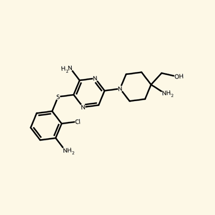 Nc1cccc(Sc2ncc(N3CCC(N)(CO)CC3)nc2N)c1Cl